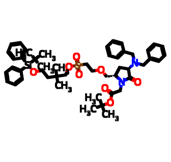 CC(C)(CCO[Si](c1ccccc1)(c1ccccc1)C(C)(C)C)COS(=O)(=O)CCOC[C@@H]1C[C@@H](N(Cc2ccccc2)Cc2ccccc2)C(=O)N1CC(=O)OC(C)(C)C